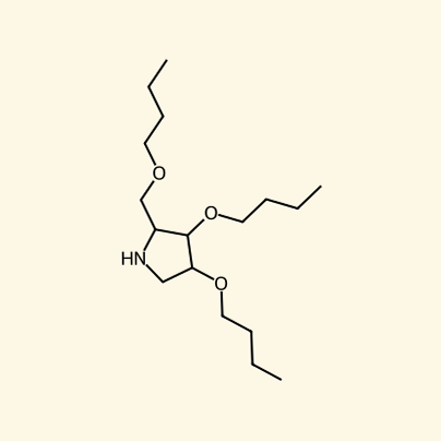 CCCCOCC1NCC(OCCCC)C1OCCCC